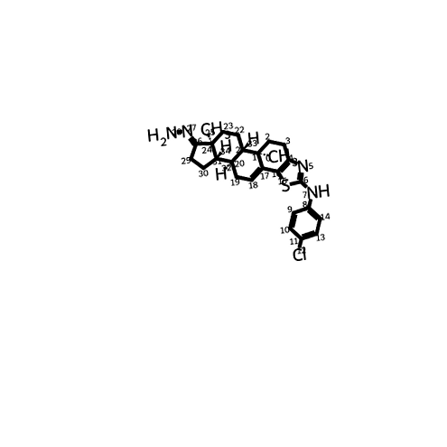 C[C@]12CCc3nc(Nc4ccc(Cl)cc4)sc3C1=CC[C@@H]1[C@@H]2CC[C@]2(C)/C(=N/N)CC[C@@H]12